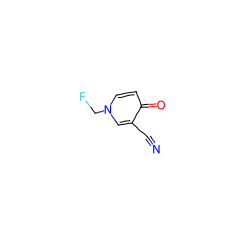 N#Cc1cn(CF)ccc1=O